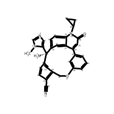 Cn1cncc1[C@]1(N)c2ccc(C#N)c(c2)COc2cccc(c2)-c2cc(=O)n(C3CC3)c3ccc1cc23